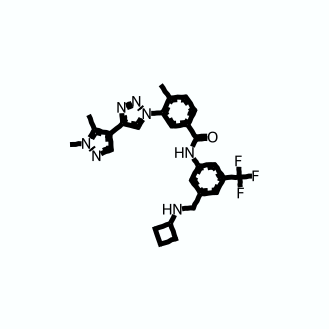 Cc1ccc(C(=O)Nc2cc(CNC3CCC3)cc(C(F)(F)F)c2)cc1-n1cc(-c2cnn(C)c2C)nn1